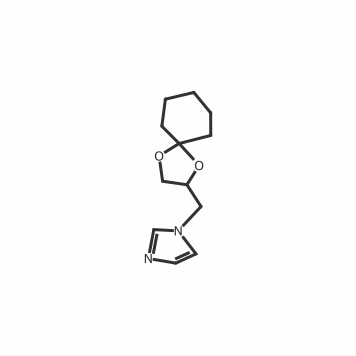 c1cn(CC2COC3(CCCCC3)O2)cn1